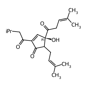 CC(C)=CCC(=O)[C@@]1(O)C=C(C(=O)CC(C)C)C(=O)C1CC=C(C)C